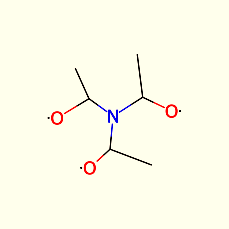 CC([O])N(C(C)[O])C(C)[O]